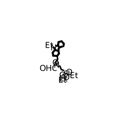 CCO[Si](CCCN(C=O)OCc1ccc2c(c1)c1ccccc1n2CC)(OCC)OCC